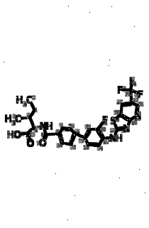 CC[C@H](C)[C@H](NC(=O)c1ccc(-c2ccc(Nc3nc4ncc(C(F)(F)F)cc4s3)c(F)c2)cc1)C(=O)O